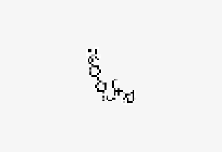 O=C1c2cc(-c3ccc(OC(F)(F)F)cc3)ccc2OCCN1Cc1ncco1